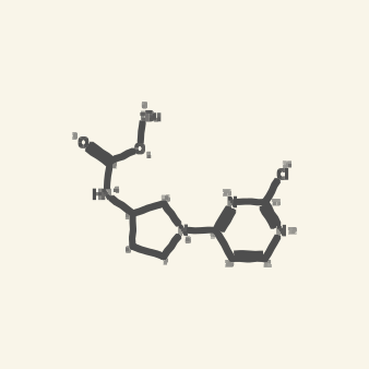 CC(C)(C)OC(=O)NC1CCN(c2ccnc(Cl)n2)C1